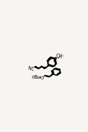 CCCCOC=Cc1ccccc1.N#CC=CC=Cc1ccc(O)cc1